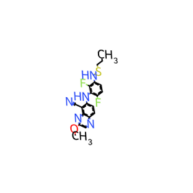 CCCSNc1ccc(F)c(Nc2ccc3ncc(OC)nc3c2C#N)c1F